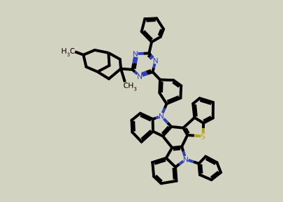 CC1CC2CC(C1)CC(C)(c1nc(-c3ccccc3)nc(-c3cccc(-n4c5ccccc5c5c6c7ccccc7n(-c7ccccc7)c6c6sc7ccccc7c6c54)c3)n1)C2